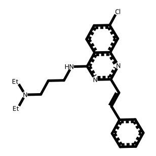 CCN(CC)CCCNc1nc(C=Cc2ccccc2)nc2cc(Cl)ccc12